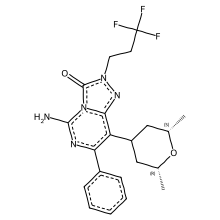 C[C@@H]1CC(c2c(-c3ccccc3)nc(N)n3c(=O)n(CCC(F)(F)F)nc23)C[C@H](C)O1